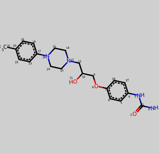 NC(=O)Nc1ccc(OCC(O)CN2CCN(c3ccc(C(F)(F)F)cc3)CC2)cc1